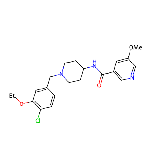 CCOc1cc(CN2CCC(NC(=O)c3cncc(OC)c3)CC2)ccc1Cl